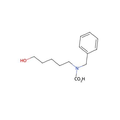 O=C(O)N(CCCCCO)Cc1ccccc1